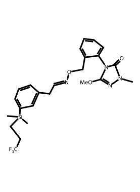 COc1nn(C)c(=O)n1-c1ccccc1CON=CCc1cccc([Si](C)(C)CCC(F)(F)F)c1